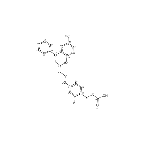 Cc1cc(OCCC(C)Oc2ccc(Cl)cc2Oc2ccccc2)ncc1CCC(=O)O